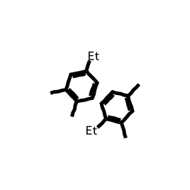 CCc1ccc(C)c(C)c1.CCc1ccc(C)cc1C